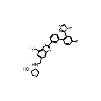 Cn1cnnc1-c1cc(F)ccc1-c1cccc(-c2nc3cc(CN[C@@H]4CCC[C@@H]4O)cc(C(F)(F)F)c3o2)c1